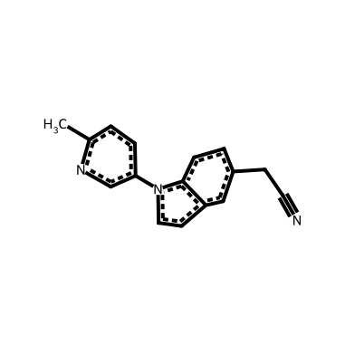 Cc1ccc(-n2ccc3cc(CC#N)ccc32)cn1